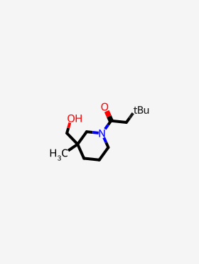 CC(C)(C)CC(=O)N1CCCC(C)(CO)C1